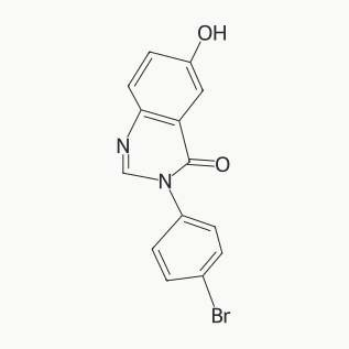 O=c1c2cc(O)ccc2ncn1-c1ccc(Br)cc1